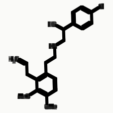 C=CCc1c(CCNCC(O)c2ccc(Cl)cc2)ccc(OC)c1OC